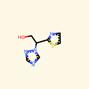 OCC(c1nccs1)n1cncn1